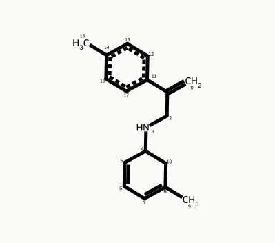 C=C(CNC1C=CC=C(C)C1)c1ccc(C)cc1